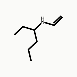 C=CNC(CC)CCC